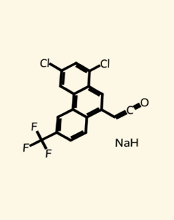 O=C=Cc1cc2c(Cl)cc(Cl)cc2c2cc(C(F)(F)F)ccc12.[NaH]